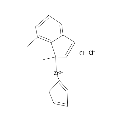 Cc1cccc2c1[C](C)([Zr+2][C]1=CC=CC1)C=C2.[Cl-].[Cl-]